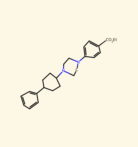 CCOC(=O)c1ccc(N2CCN(C3CCC(c4ccccc4)CC3)CC2)cc1